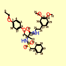 CCOc1ccc(OCC(C)(NS(=O)(=O)Cc2ccccc2)C(=O)NCCc2ccc(OC)c(OC)c2)cc1